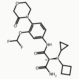 NC(=O)[C@@H](C(=O)Nc1ccc(N2CCOCC2=O)c(OC(F)F)c1)N(C1CCC1)C1CC1